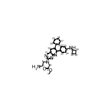 COC(=O)CN(CCN)c1ncc2cc(-c3ccccc3)c(-c3ccc(NC4CCC4)cc3)nc2n1